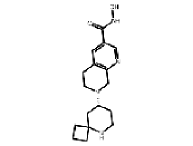 O=C(NO)c1cnc2c(c1)CCN([C@@H]1CCNC3(CCC3)C1)C2